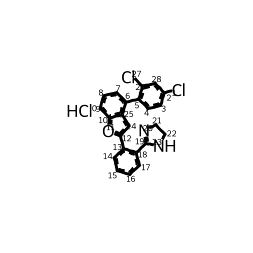 Cl.Clc1ccc(-c2cccc3oc(-c4ccccc4C4=NCCN4)cc23)c(Cl)c1